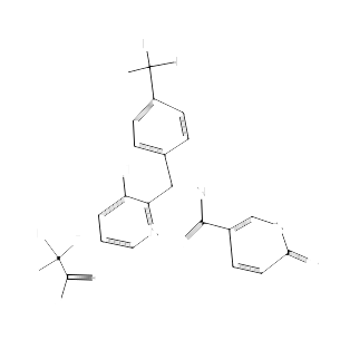 O=C(N[C@@H](c1ccc(C(F)(F)F)cc1)c1ncccc1Cl)c1ccc(=O)[nH]c1.O=C(O)C(F)(F)F